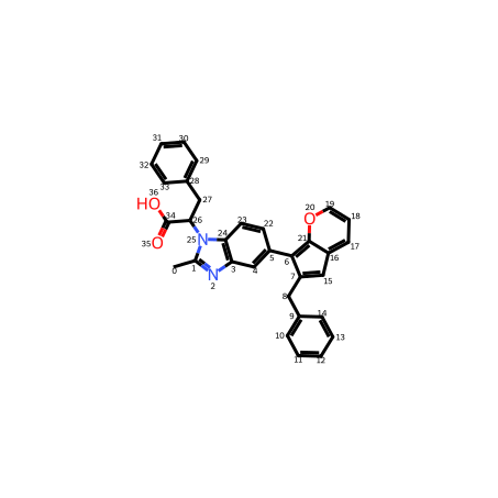 Cc1nc2cc(-c3c(Cc4ccccc4)cc4cccoc3-4)ccc2n1C(Cc1ccccc1)C(=O)O